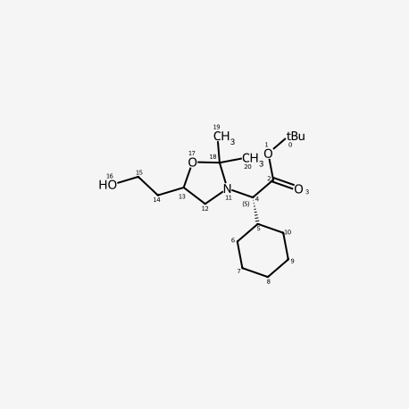 CC(C)(C)OC(=O)[C@H](C1CCCCC1)N1CC(CCO)OC1(C)C